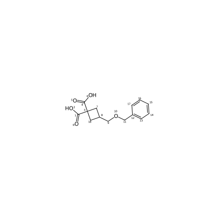 O=C(O)C1(C(=O)O)CC(COCc2ccccc2)C1